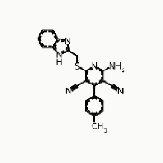 Cc1ccc(-c2c(C#N)c(N)nc(SCc3nc4ccccc4[nH]3)c2C#N)cc1